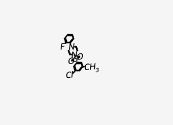 Cc1cc(Cl)cc(S(=O)(=O)N2CCN(c3ccccc3F)CC2)c1